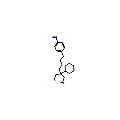 N=C(N)c1ccc(CCCCC2(C3CCCCC3)CCOC(=O)C2)cc1